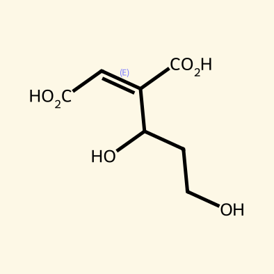 O=C(O)/C=C(/C(=O)O)C(O)CCO